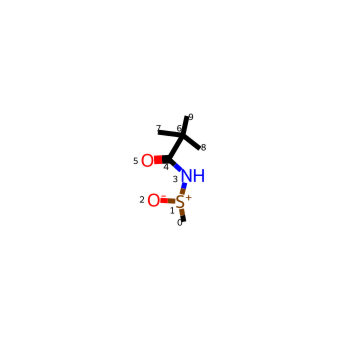 C[S+]([O-])NC(=O)C(C)(C)C